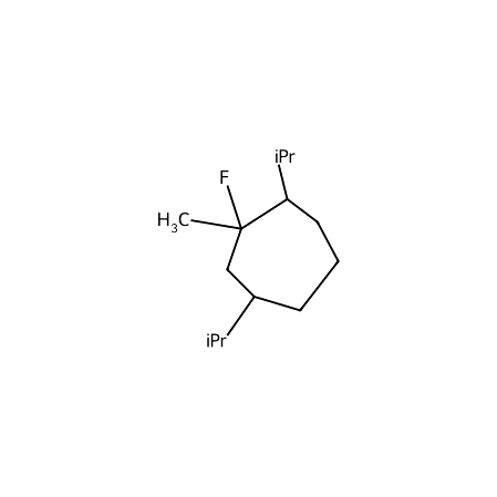 CC(C)C1CCCC(C(C)C)C(C)(F)C1